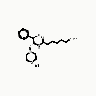 CCCCCCCCCCCCCCCC(=O)N[C@H](CN1CCOCC1)[C@H](O)c1ccccc1.Cl